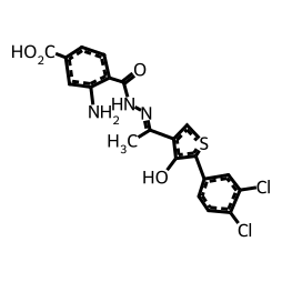 C/C(=N\NC(=O)c1ccc(C(=O)O)cc1N)c1csc(-c2ccc(Cl)c(Cl)c2)c1O